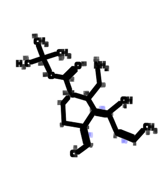 C\C=C/C(O)=C1\C(=C\Cl)CCN(C(=O)OC(C)(C)C)C1CN